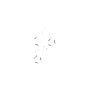 CCCCC(NC(=O)[C@@H]1Cc2ccccc2CN1S(=O)(=O)c1cccc(C(F)(F)F)c1)C(=O)O